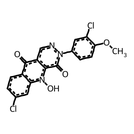 COc1ccc(-n2ncc3c(=O)c4ccc(Cl)cc4n(O)c3c2=O)cc1Cl